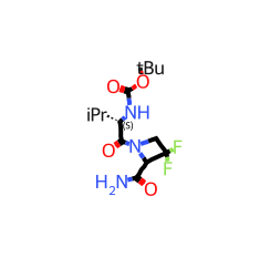 CC(C)[C@H](NC(=O)OC(C)(C)C)C(=O)N1CC(F)(F)C1C(N)=O